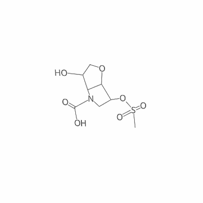 CS(=O)(=O)OC1CN(C(=O)O)C2C(O)COC12